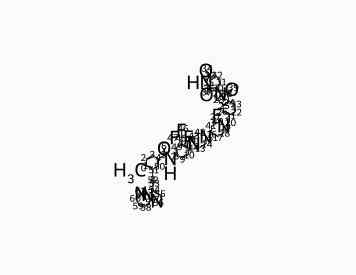 Cc1ccc(C(=O)Nc2ccc(N3CCN(C4CCN(Cc5ccc6c(c5F)CN(C5CCC(=O)NC5=O)C6=O)CC4)CC3)c(C(F)(F)F)c2)cc1C#Cc1cnc2cccnn12